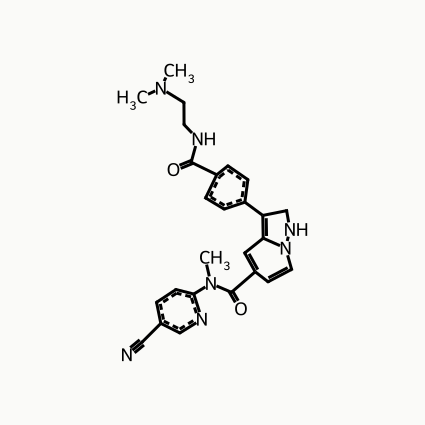 CN(C)CCNC(=O)c1ccc(C2=C3C=C(C(=O)N(C)c4ccc(C#N)cn4)C=CN3NC2)cc1